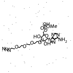 COP(=O)(O)OC[C@H]1OC(n2cnc3c(N)ncnc32)C(O)N(OCCOCCOCCOCCN=[N+]=[N-])C1O